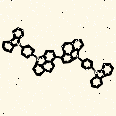 c1ccc2c(c1)c1ccccc1n2-c1ccc(-n2c3cccc4ccc5c(-c6ccc7c8c6ccc6cccc(c68)n7-c6ccc(-n7c8ccccc8c8ccccc87)cc6)ccc2c5c43)cc1